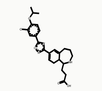 CC(C)Oc1ccc(-c2nc(C3=CCC4C(=C3)CCCNC4CCC(=O)O)no2)cc1Cl